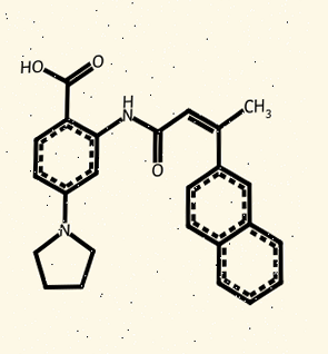 C/C(=C/C(=O)Nc1cc(N2CCCC2)ccc1C(=O)O)c1ccc2ccccc2c1